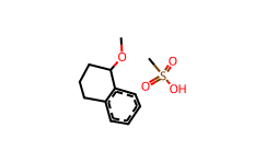 COC1CCCc2ccccc21.CS(=O)(=O)O